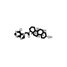 C[C@]12CC[C@@H](O)C[C@@H]1CC[C@@H]1[C@@H]2CC[C@]2(C)[C@@H](C(=O)Cn3cnc4ncnc(Cl)c43)CCC[C@@H]12